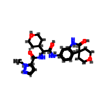 Cn1nccc1C(=O)NC(C(=O)Nc1ccc2c(c1)NC(=O)C21CCOCC1)C1CCOCC1